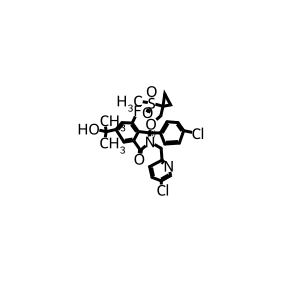 CC(C)(O)c1cc(F)c2c(c1)C(=O)N(Cc1ccc(Cl)cn1)[C@@]2(OCC1(S(C)(=O)=O)CC1)c1ccc(Cl)cc1